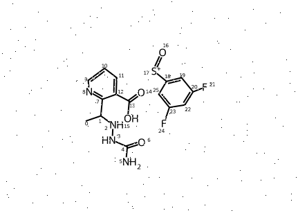 CC(NNC(N)=O)c1ncccc1C(=O)O.O=[S+]c1cc(F)cc(F)c1